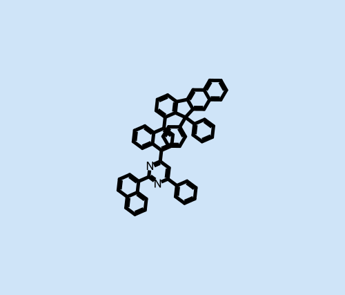 c1ccc(-c2cc(-c3ccc(-c4cccc5c4C(c4ccccc4)(c4ccccc4)c4cc6ccccc6cc4-5)c4ccccc34)nc(-c3cccc4ccccc34)n2)cc1